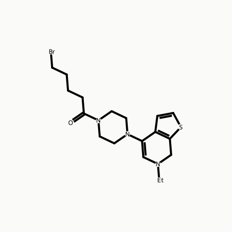 CCN1C=C(N2CCN(C(=O)CCCCBr)CC2)c2ccsc2C1